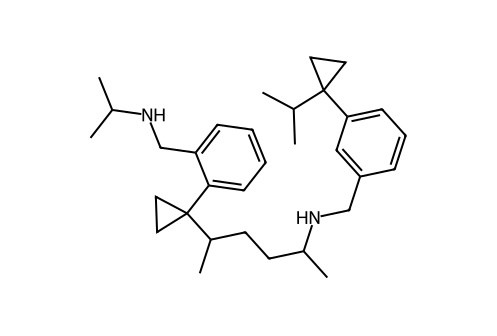 CC(C)NCc1ccccc1C1(C(C)CCC(C)NCc2cccc(C3(C(C)C)CC3)c2)CC1